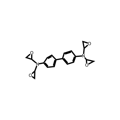 c1cc(N(C2CO2)C2CO2)ccc1-c1ccc(N(C2CO2)C2CO2)cc1